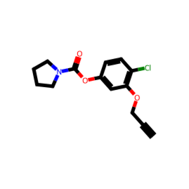 C#CCOc1cc(OC(=O)N2CCCC2)ccc1Cl